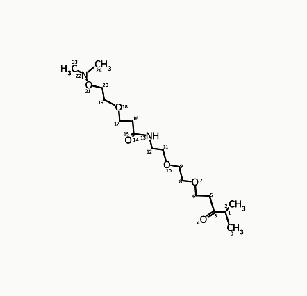 CC(C)C(=O)CCOCCOCCNC(=O)CCOCCON(C)C